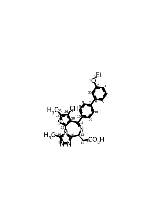 CCOc1cccc(-c2ccc(C3=N[C@@H](CC(=O)O)c4nnc(C)n4-c4sc(C)c(C)c43)cc2)c1